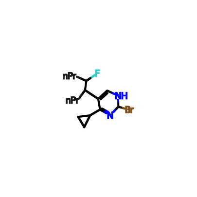 CCCC(F)C(CCC)C1=CNC(Br)N=C1C1CC1